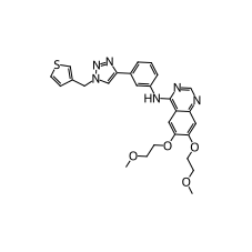 COCCOc1cc2ncnc(Nc3cccc(-c4cn(Cc5ccsc5)nn4)c3)c2cc1OCCOC